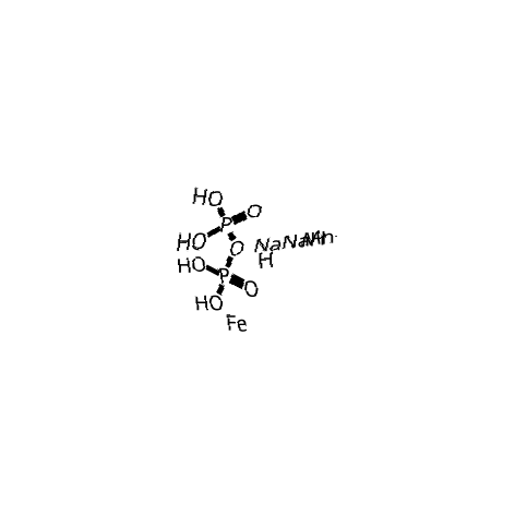 O=P(O)(O)OP(=O)(O)O.[Fe].[Mn].[NaH].[NaH]